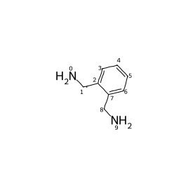 N[CH]c1ccccc1CN